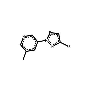 CCc1cpn(-c2cncc(C)c2)n1